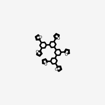 c1coc(C2CC(c3ccco3)CC(C3CC(c4ccco4)CC(C4CC(c5ccco5)CC(C5CC(c6ccco6)CC(c6ccco6)C5)C4)C3)C2)c1